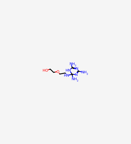 NC1=NC(N)(NCCOCCO)NC(N)=N1